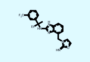 [CH2]CC(C)(Nc1nc2c(Cn3ccoc3=N)cccc2[nH]1)c1cccc(C(F)(F)F)c1